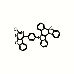 Clc1nc(-c2ccc(-n3c4ccccc4c4c5c6ccccc6sc5c5ccccc5c43)cc2)c2c(n1)oc1ccccc12